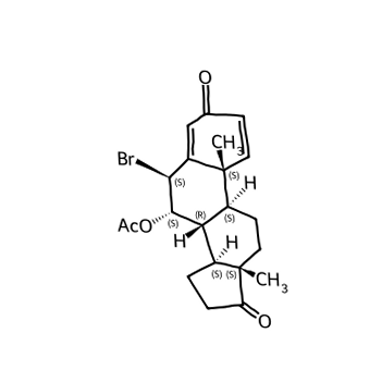 CC(=O)O[C@H]1[C@@H]2[C@H](CC[C@]3(C)C(=O)CC[C@@H]23)[C@@]2(C)C=CC(=O)C=C2[C@@H]1Br